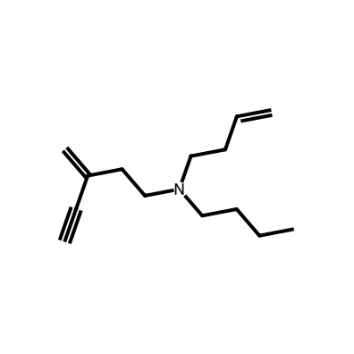 C#CC(=C)CCN(CCC=C)CCCC